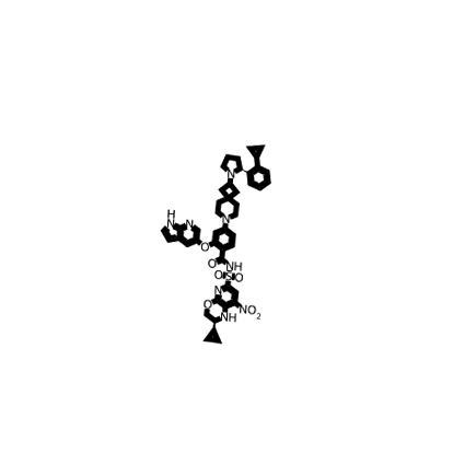 O=C(NS(=O)(=O)c1cc([N+](=O)[O-])c2c(n1)OC[C@H](C1CC1)N2)c1ccc(N2CCC3(CC2)CC(N2CCC[C@@H]2c2ccccc2C2CC2)C3)cc1Oc1cnc2[nH]ccc2c1